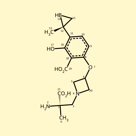 C[C@@](N)(CN1CC(Oc2ccc([C@]3(C)BC3)c(O)c2C(=O)O)C1)C(=O)O